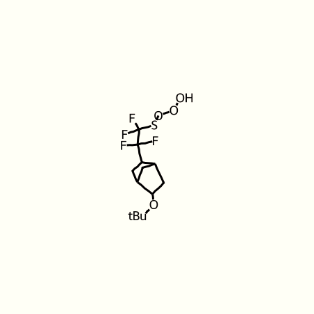 CC(C)(C)OC1CC2CC1CC2C(F)(F)C(F)(F)SOOO